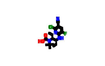 CC[C@@H](Nc1nc(Cl)c(C#N)cc1F)[C@H](CC)N(C(=O)O)C(C)(C)C